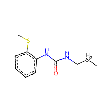 C[SiH2]CNC(=O)Nc1ccccc1SC